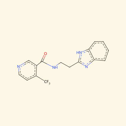 O=C(NCCc1nc2ccccc2[nH]1)c1cnccc1C(F)(F)F